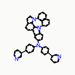 c1ccc(-n2ccc3ccc4c5cc(N(c6ccc(-c7cccnc7)cc6)c6ccc(-c7cccnc7)cc6)ccc5n(-c5ccccc5)c4c32)cc1